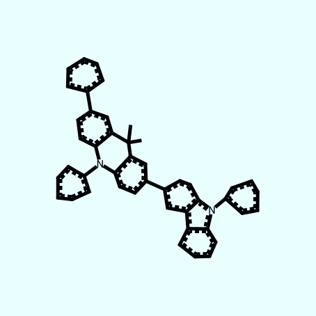 CC1(C)c2cc(-c3ccccc3)ccc2N(c2ccccc2)c2ccc(-c3ccc4c(c3)c3ccccc3n4-c3ccccc3)cc21